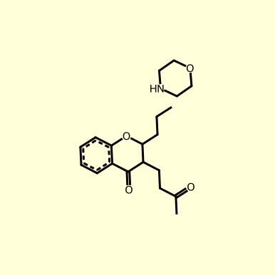 C1COCCN1.CCCC1Oc2ccccc2C(=O)C1CCC(C)=O